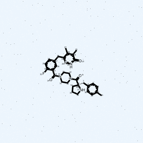 Cc1ccc(C[C@@]2(C(=O)N3CCN(C(=O)c4cc(Cc5n[nH]c(=O)c(C)c5C)ccc4F)CC3)CCCN2)cc1